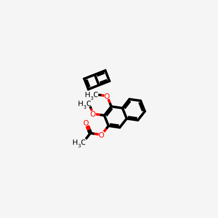 COc1c(OC(C)=O)cc2ccccc2c1OC.c1cc2ccc1-2